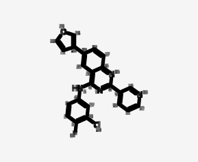 Fc1ccc(Nc2nc(-c3cccnc3)nc3ccc(-c4ccoc4)cc23)cc1Cl